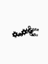 COC(=O)[C@H](Cc1ccc(OOCc2ccccc2)cc1)NC(=O)OC(C)(C)C